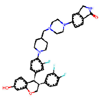 O=C1NCc2cc(N3CCN(CC4CCN(c5ccc([C@@H]6c7ccc(O)cc7OC[C@@H]6c6ccc(F)c(F)c6)cc5F)CC4)CC3)ccc21